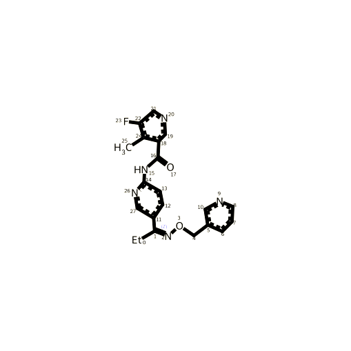 CC/C(=N/OCc1cccnc1)c1ccc(NC(=O)c2cncc(F)c2C)nc1